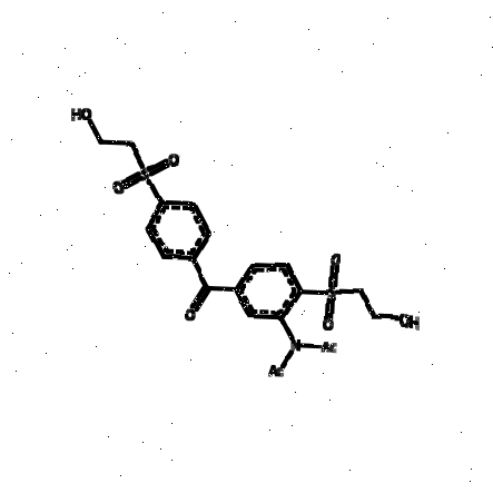 CC(=O)N(C(C)=O)c1cc(C(=O)c2ccc(S(=O)(=O)CCO)cc2)ccc1S(=O)(=O)CCO